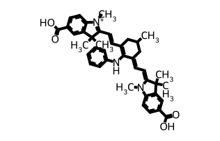 CC1CC(=CC=C2N(C)c3ccc(C(=O)O)cc3C2(C)C)C(Nc2ccccc2)=C(C=CC2=[N+](C)c3ccc(C(=O)O)cc3C2(C)C)C1